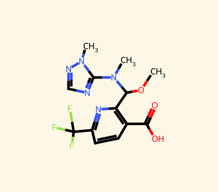 COC(c1nc(C(F)(F)F)ccc1C(=O)O)N(C)c1ncnn1C